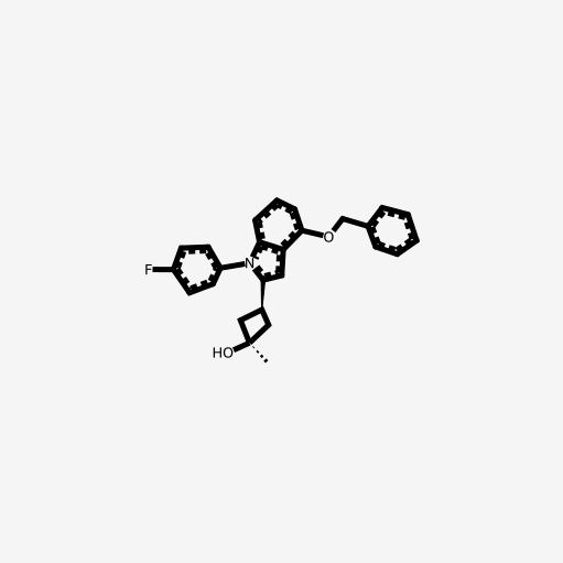 C[C@]1(O)C[C@@H](c2cc3c(OCc4ccccc4)cccc3n2-c2ccc(F)cc2)C1